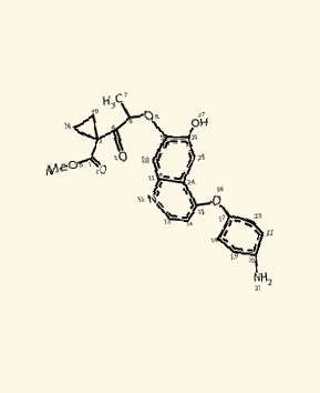 COC(=O)C1(C(=O)C(C)Oc2cc3nccc(Oc4ccc(N)cc4)c3cc2O)CC1